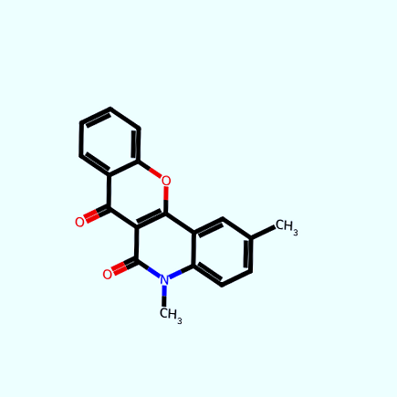 Cc1ccc2c(c1)c1oc3ccccc3c(=O)c1c(=O)n2C